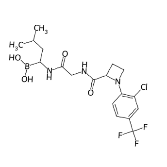 CC(C)CC(NC(=O)CNC(=O)C1CCN1c1ccc(C(F)(F)F)cc1Cl)B(O)O